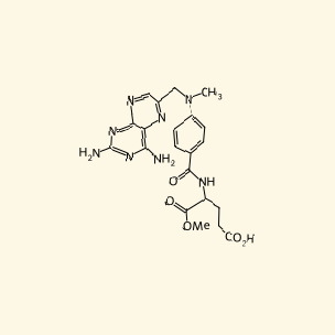 COC(=O)C(CCC(=O)O)NC(=O)c1ccc(N(C)Cc2cnc3nc(N)nc(N)c3n2)cc1